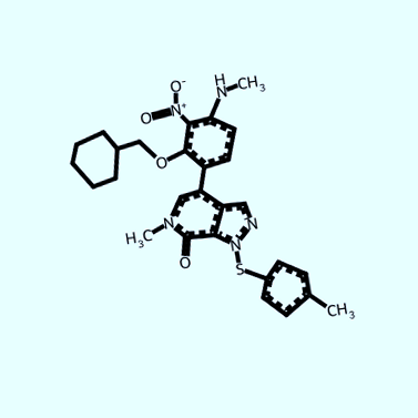 CNc1ccc(-c2cn(C)c(=O)c3c2cnn3Sc2ccc(C)cc2)c(OCC2CCCCC2)c1[N+](=O)[O-]